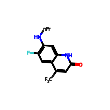 CCCNc1cc2[nH]c(=O)cc(C(F)(F)F)c2cc1F